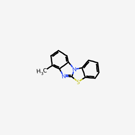 Cc1cccc2c1nc1sc3ccccc3n12